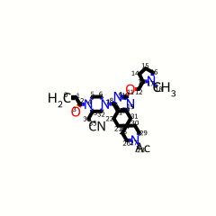 C=CC(=O)N1CCN(c2nc(OCC3CCCN3C)nc3c2CCC2(CCN(C(C)=O)CC2)C3)CC1CC#N